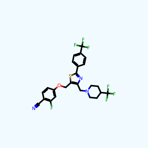 N#Cc1ccc(OCc2sc(-c3ccc(C(F)(F)F)cc3)nc2CN2CCC(C(F)(F)F)CC2)cc1F